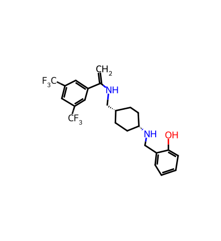 C=C(NC[C@H]1CC[C@@H](NCc2ccccc2O)CC1)c1cc(C(F)(F)F)cc(C(F)(F)F)c1